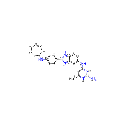 Cc1cc(Nc2ccc3[nH]c(-c4ccc(NC5=CC=CC=CC5)cc4)nc3c2)nc(N)n1